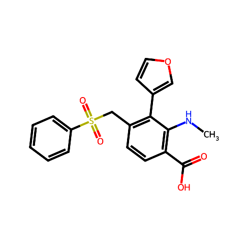 CNc1c(C(=O)O)ccc(CS(=O)(=O)c2ccccc2)c1-c1ccoc1